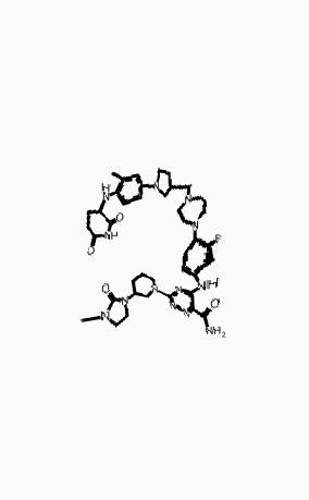 Cc1cc(N2CCC(CN3CCN(c4ccc(Nc5nc(N6CCCC(N7CCN(C)C7=O)C6)nnc5C(N)=O)cc4F)CC3)C2)ccc1NC1CCC(=O)NC1=O